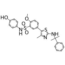 COc1ccc(-c2sc(NC(C)(C)c3ccccc3)nc2C)cc1S(=O)(=O)Nc1ccc(O)cc1